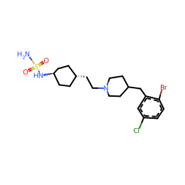 NS(=O)(=O)N[C@H]1CC[C@H](CCN2CCC(Cc3cc(Cl)ccc3Br)CC2)CC1